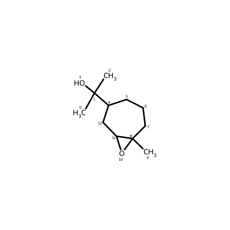 CC(C)(O)C1CCCC2(C)OC2C1